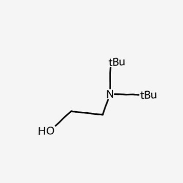 CC(C)(C)N(CCO)C(C)(C)C